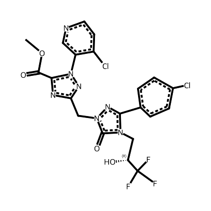 COC(=O)c1nc(Cn2nc(-c3ccc(Cl)cc3)n(C[C@@H](O)C(F)(F)F)c2=O)nn1-c1cnccc1Cl